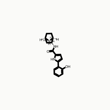 O=C(N[C@@H]1C[C@H]2CC[C@@H]1N2)c1ccc(-c2ccccc2O)[nH]1